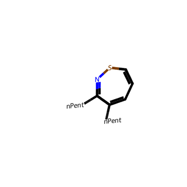 CCCCCC1=CC=CSN=C1CCCCC